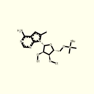 CCO[C@@H]1[C@H](OCC)[C@@H](CO[Si](C)(C)C(C)(C)C)O[C@H]1n1c(I)cc2c(N)ncnc21